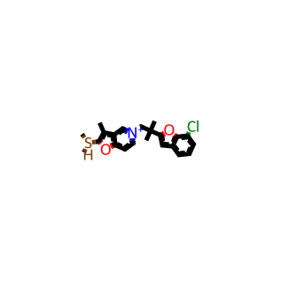 Cc1c([SH](C)C)oc2cc[n+](CC(C)(C)c3cc4cccc(Cl)c4o3)cc12